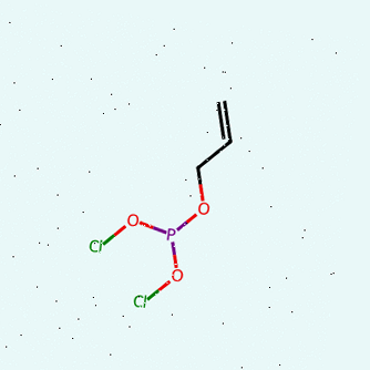 C=CCOP(OCl)OCl